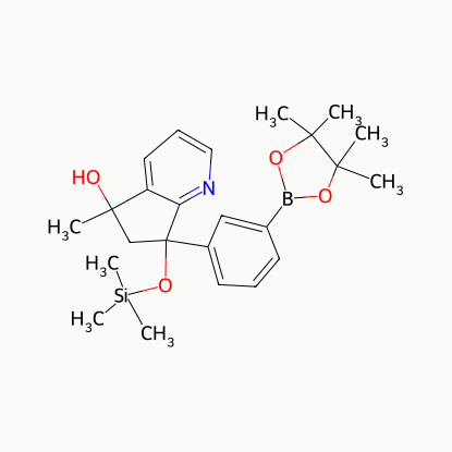 CC1(O)CC(O[Si](C)(C)C)(c2cccc(B3OC(C)(C)C(C)(C)O3)c2)c2ncccc21